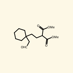 COC(=O)C(CCC1(CC=O)CCCCC1)C(=O)OC